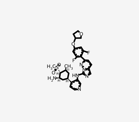 C[C@H]1C[C@@H](c2ccncc2Nc2ncc3ccc(-c4c(F)cc(OC5CCOC5)cc4F)nn23)C[C@@H](N)[C@@H]1S(C)(=O)=O